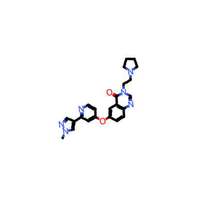 Cn1cc(-c2cc(Oc3ccc4ncn(CCN5CCCC5)c(=O)c4c3)ccn2)cn1